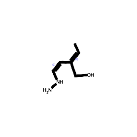 C/C=C(\C=C/NN)CO